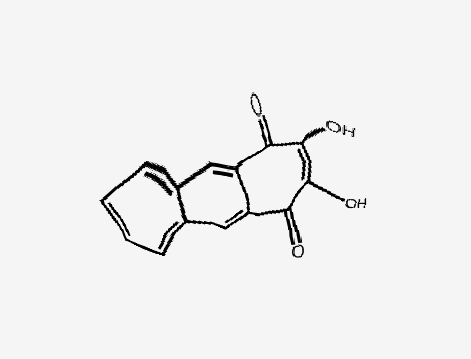 O=C1C(O)=C(O)C(=O)c2cc3ccccc3cc21